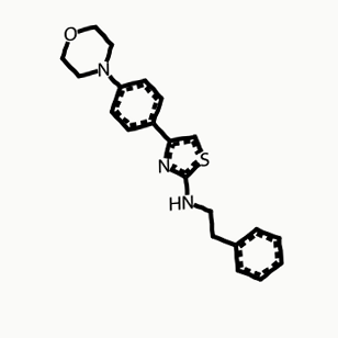 c1ccc(CCNc2nc(-c3ccc(N4CCOCC4)cc3)cs2)cc1